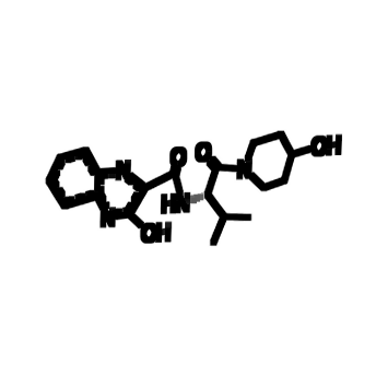 CC(C)[C@H](NC(=O)c1nc2ccccc2nc1O)C(=O)N1CCC(O)CC1